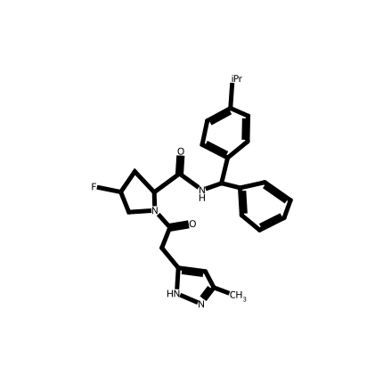 Cc1cc(CC(=O)N2CC(F)CC2C(=O)NC(c2ccccc2)c2ccc(C(C)C)cc2)[nH]n1